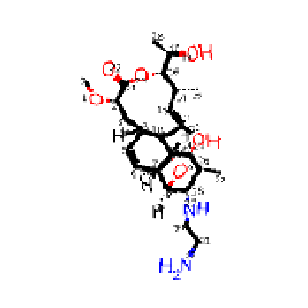 CO[C@H]1C[C@H]2C=C[C@H]3[C@H]4O[C@]2(/C(C)=C/[C@@H](C)[C@@H]([C@@H](C)O)OC1=O)[C@@H]3[C@H](O)[C@@H](C)[C@@H]4NCCN